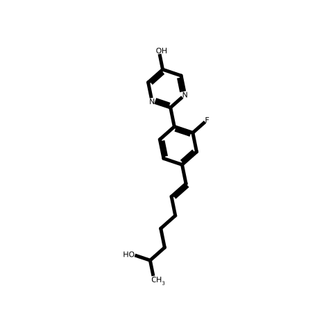 CC(O)CCCC=Cc1ccc(-c2ncc(O)cn2)c(F)c1